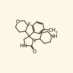 Cc1ccc(F)c(C2(C3CCOCC3)CNC(=O)N2C2CCNCC2)c1